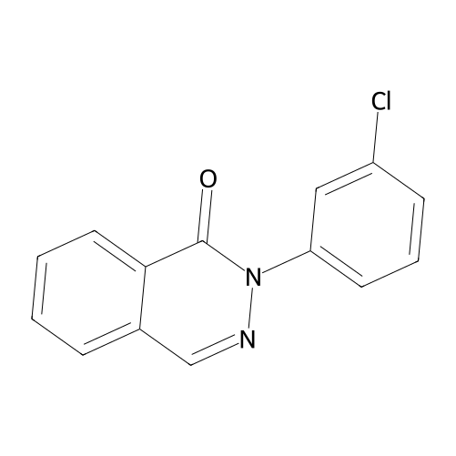 O=c1c2ccccc2cnn1-c1cccc(Cl)c1